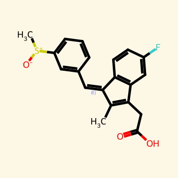 CC1=C(CC(=O)O)c2cc(F)ccc2/C1=C\c1cccc([S+](C)[O-])c1